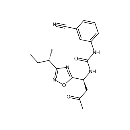 CC[C@H](C)c1noc([C@H](CC(C)=O)NC(=O)Nc2cccc(C#N)c2)n1